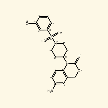 Bc1ccc2c(c1)COC(=O)N2C1CCN(S(=O)(=O)c2cccc(Cl)c2)CC1